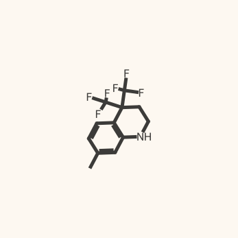 Cc1ccc2c(c1)NCCC2(C(F)(F)F)C(F)(F)F